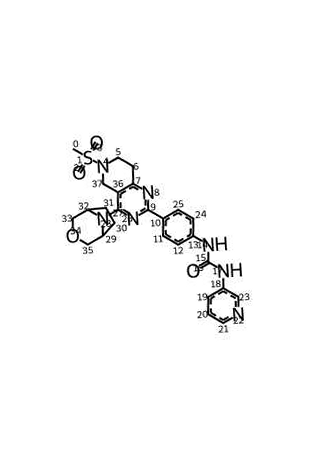 CS(=O)(=O)N1CCc2nc(-c3ccc(NC(=O)Nc4cccnc4)cc3)nc(N3C4CCC3COC4)c2C1